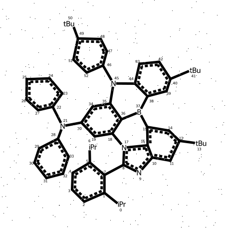 CC(C)c1cccc(C(C)C)c1-c1nc2cc(C(C)(C)C)cc3c2n1-c1cc(N(c2ccccc2)c2ccccc2)cc2c1B3c1cc(C(C)(C)C)ccc1N2c1ccc(C(C)(C)C)cc1